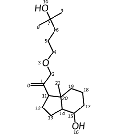 C=C(COCCCC(C)(C)O)C1CCC2C(O)CCCC12C